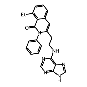 CCc1cccc2cc(CCNc3ncnc4[nH]cnc34)n(-c3ccccc3)c(=O)c12